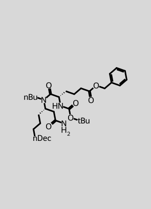 CCCCCCCCCCCCC[C@@H](CC(N)=O)N(CCCC)C(=O)[C@H](CCCC(=O)OCc1ccccc1)NC(=O)OC(C)(C)C